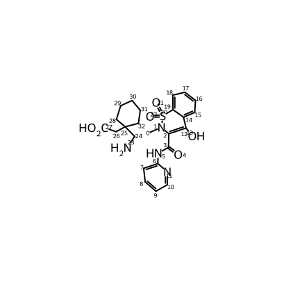 CN1C(C(=O)Nc2ccccn2)=C(O)c2ccccc2S1(=O)=O.NCC1(CC(=O)O)CCCCC1